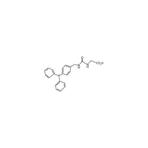 O=C(O)CNC(=O)NCc1ccc(P(c2ccccc2)c2ccccc2)cc1